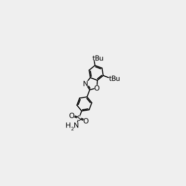 CC(C)(C)c1cc(C(C)(C)C)c2oc(-c3ccc(S(N)(=O)=O)cc3)nc2c1